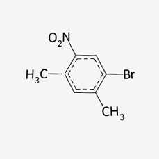 Cc1cc(C)c([N+](=O)[O-])cc1Br